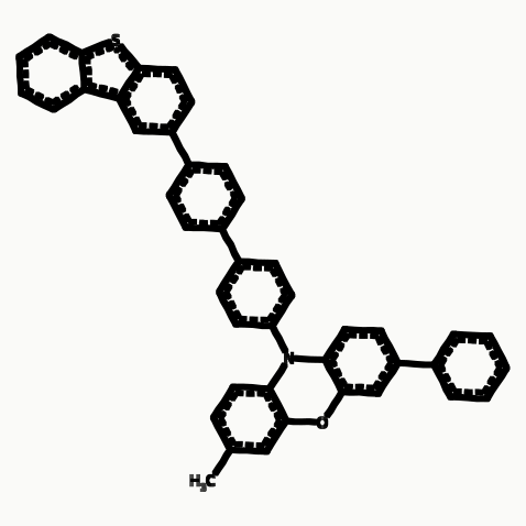 Cc1ccc2c(c1)Oc1cc(-c3ccccc3)ccc1N2c1ccc(-c2ccc(-c3ccc4sc5ccccc5c4c3)cc2)cc1